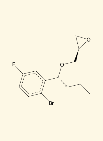 CCC[C@@H](OC[C@H]1CO1)c1cc(F)ccc1Br